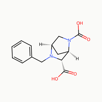 O=C(O)[C@H]1[C@H]2C[C@H](CN2C(=O)O)N1Cc1ccccc1